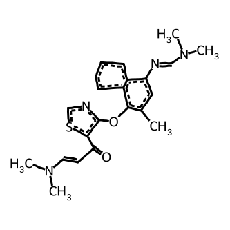 Cc1cc(N=CN(C)C)c2ccccc2c1Oc1ncsc1C(=O)/C=C/N(C)C